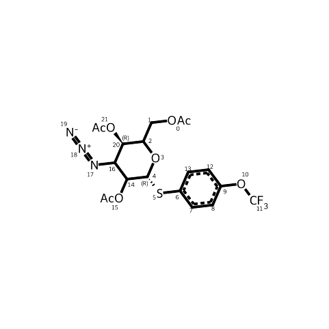 CC(=O)OCC1O[C@H](Sc2ccc(OC(F)(F)F)cc2)C(OC(C)=O)C(N=[N+]=[N-])[C@H]1OC(C)=O